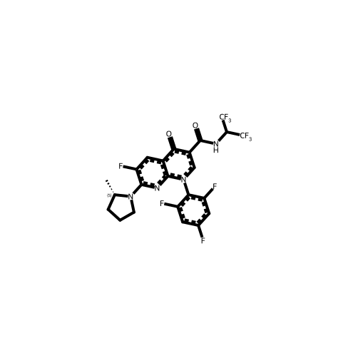 C[C@H]1CCCN1c1nc2c(cc1F)c(=O)c(C(=O)NC(C(F)(F)F)C(F)(F)F)cn2-c1c(F)cc(F)cc1F